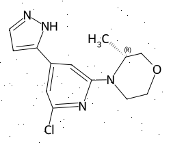 C[C@@H]1COCCN1c1cc(-c2ccn[nH]2)cc(Cl)n1